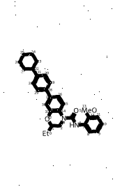 CCC1CN(C(=O)Nc2ccccc2OC)c2ccc(-c3ccc(C4CCCCC4)cc3)cc2O1